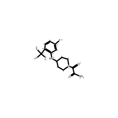 NC(=O)C(=O)N1CCC(Nc2cc(F)ccc2C(F)(F)F)CC1